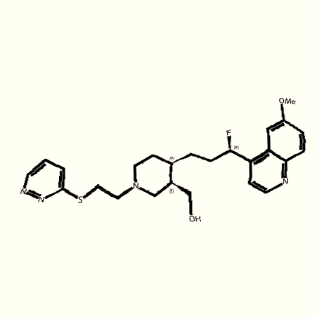 COc1ccc2nccc([C@H](F)CC[C@@H]3CCN(CCSc4cccnn4)C[C@@H]3CO)c2c1